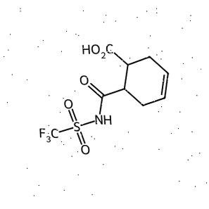 O=C(O)C1CC=CCC1C(=O)NS(=O)(=O)C(F)(F)F